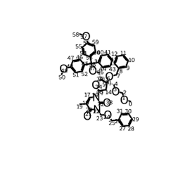 COCOC[C@]1(OCc2ccccc2)C[C@H](n2cc(C)c(=O)n(COCc3ccccc3)c2=O)O[C@@H]1COC(c1ccccc1)(c1ccc(OC)cc1)c1ccc(OC)cc1